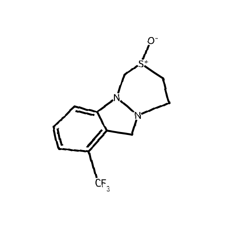 [O-][S+]1CCN2Cc3c(cccc3C(F)(F)F)N2C1